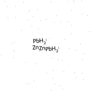 [PbH2].[PbH2].[Zn].[Zn]